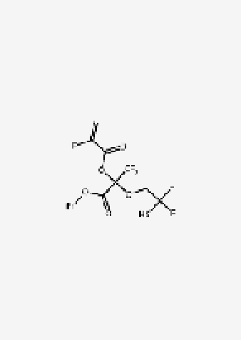 C=C(F)C(=O)OC(OCC(F)(F)S)(C(=O)OC(C)C)C(F)(F)F